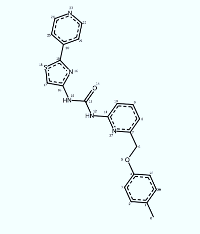 Cc1ccc(OCc2cccc(NC(=O)Nc3csc(-c4ccncc4)n3)n2)cc1